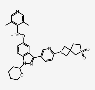 Cc1cncc(C)c1[C@@H](C)Oc1ccc2c(c1)c(-c1ccc(N3CC4(CCS(=O)(=O)C4)C3)nc1)nn2C1CCCCO1